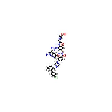 CC1(C)CCC(CN2CCN(c3ccc(C(=O)NSc4cc(N)c5c(c4)OC[C@H](CN4CC(O)C4)N5)c(Oc4cnc5[nH]ccc5c4)c3)CC2)=C(c2ccc(Cl)cc2)C1